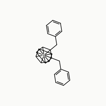 c1ccc(C[C]23[CH]4[CH]5[CH]6[C]2(Cc2ccccc2)[Fe]54632789[CH]3[CH]2[CH]7[CH]8[CH]39)cc1